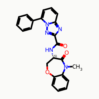 CN1C(=O)[C@@H](NC(=O)c2nc3cccc(-c4ccccc4)n3n2)COc2ccccc21